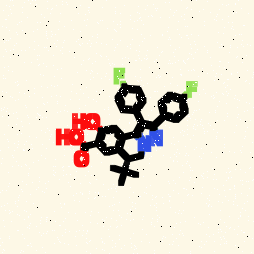 CC(C)(C)[C@@H]1Cn2nc(-c3ccc(F)cc3)c(-c3ccc(F)cc3)c2-c2cc(O)c(C(=O)O)cc21